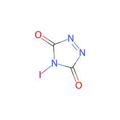 O=C1N=NC(=O)N1I